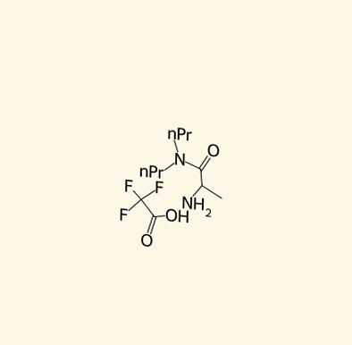 CCCN(CCC)C(=O)C(C)N.O=C(O)C(F)(F)F